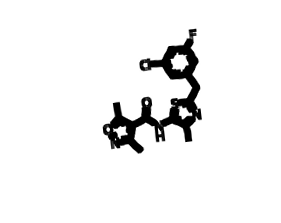 Cc1nc(Cc2cc(F)cc(Cl)c2)sc1NC(=O)c1c(C)noc1C